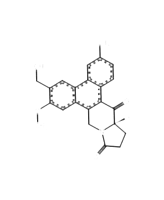 COc1cc2c3c(c4ccc(C)cc4c2cc1CO)C(=O)[C@@H]1CCC(=O)N1C3